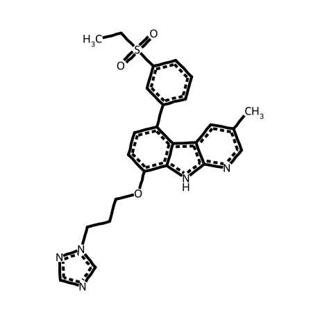 CCS(=O)(=O)c1cccc(-c2ccc(OCCCn3cncn3)c3[nH]c4ncc(C)cc4c23)c1